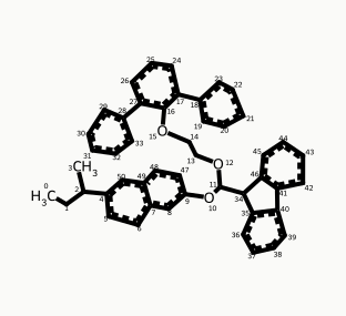 CCC(C)c1ccc2cc(OC(OCCOc3c(-c4ccccc4)cccc3-c3ccccc3)C3c4ccccc4-c4ccccc43)ccc2c1